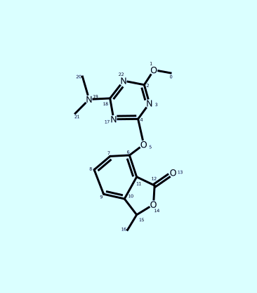 COc1nc(Oc2cccc3c2C(=O)OC3C)nc(N(C)C)n1